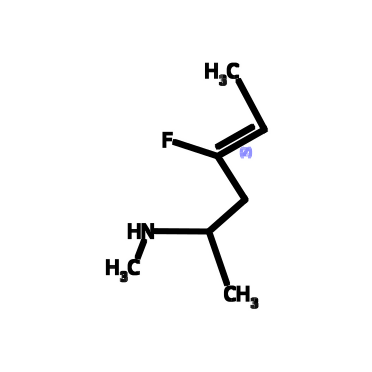 C/C=C(\F)CC(C)NC